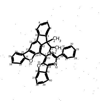 CC(C)C1(C)c2ccccc2-c2cc3c(oc4ccccc43)c(-c3nc(-c4ccccc4)nc4c3oc3ccccc34)c21